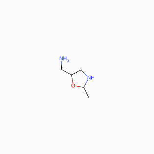 CC1NCC(CN)O1